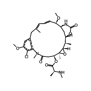 CN[C@@H](C)C(=O)O[C@H]1CC(=O)N(C)c2cc(cc(OC)c2Cl)C/C(C)=C/C=C/[C@@H](OC)[C@@]2(C)C[C@H](OC(=O)N2)[C@@H](C)[C@@H]2O[C@@]12C